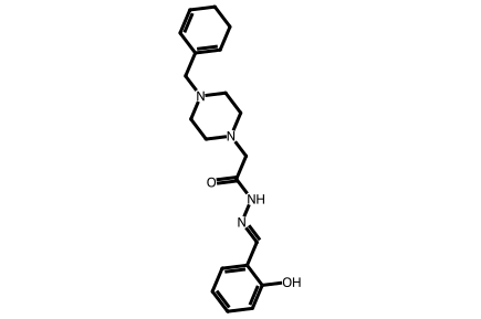 O=C(CN1CCN(CC2=CCCC=C2)CC1)N/N=C/c1ccccc1O